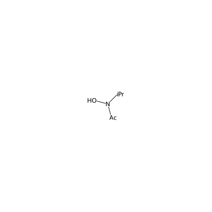 CC(=O)N(O)C(C)C